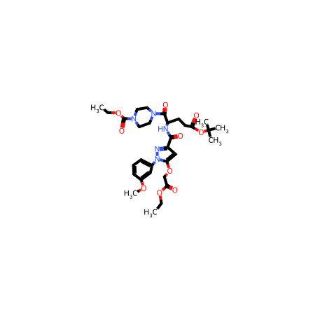 CCOC(=O)COc1cc(C(=O)NC(CCC(=O)OC(C)(C)C)C(=O)N2CCN(C(=O)OCC)CC2)nn1-c1cccc(OC)c1